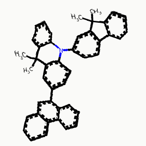 CC1(C)c2ccccc2-c2ccc(N3c4ccccc4C(C)(C)c4cc(-c5cc6ccccc6c6ccccc56)ccc43)cc21